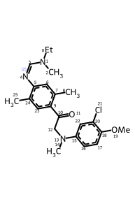 CCN(C)/C=N\c1cc(C)c(C(=O)CN(C)c2ccc(OC)c(Cl)c2)cc1C